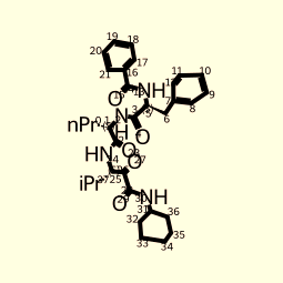 CCC[C@H](NC(=O)[C@H](Cc1ccccc1)NC(=O)c1ccccc1)C(=O)N[C@H](C(=O)C(=O)NC1CCCCC1)C(C)C